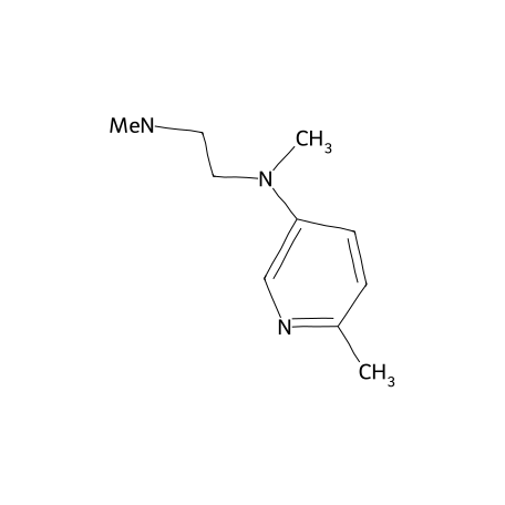 CNCCN(C)c1ccc(C)nc1